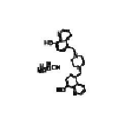 Cl.Cl.Cl.Cl.Oc1ccc(CN2CCN(Cc3ccc(O)c4ncccc34)CC2)c2cccnc12